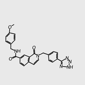 COc1ccc(CNC(=O)c2ccc3ccn(Cc4ccc(-c5nn[nH]n5)cc4)c(=O)c3c2)cc1